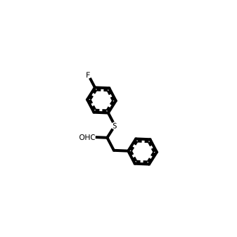 O=CC(Cc1ccccc1)Sc1ccc(F)cc1